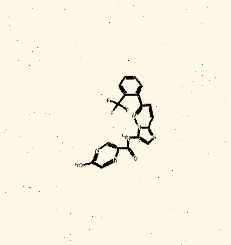 O=C(Nc1cnc2ccc(-c3ccccc3C(F)(F)F)nn12)c1cnc(O)cn1